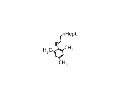 CCCCCCCCCPc1c(C)cc(C)cc1C